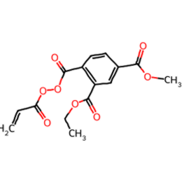 C=CC(=O)OOC(=O)c1ccc(C(=O)OC)cc1C(=O)OCC